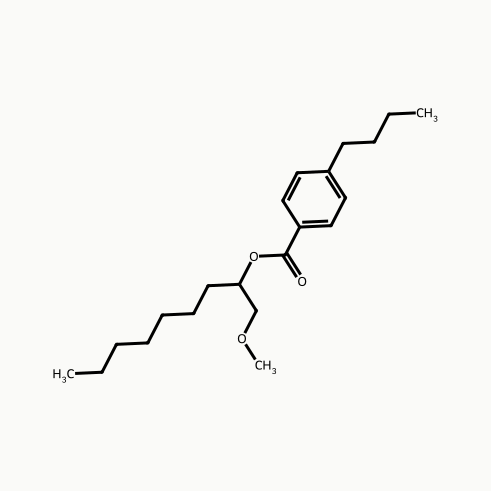 CCCCCCCC(COC)OC(=O)c1ccc(CCCC)cc1